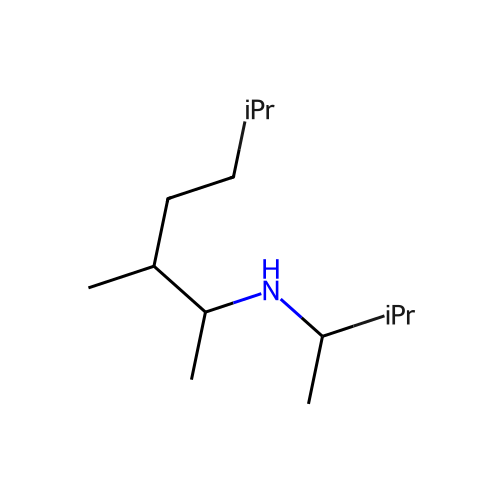 CC(C)CCC(C)C(C)NC(C)C(C)C